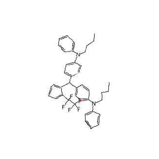 CCCCN(c1ccccc1)c1ccc(C(c2ccc(N(CCCC)c3ccccc3)cc2)c2ccccc2C(F)(F)C(F)(F)F)cc1